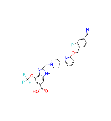 Cn1c(CN2CCC(c3cccc(OCc4ccc(C#N)cc4F)n3)CC2)nc2c(OC(F)(F)F)cc(C(=O)O)cc21